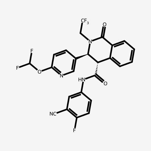 N#Cc1cc(NC(=O)[C@H]2c3ccccc3C(=O)N(CC(F)(F)F)[C@@H]2c2ccc(OC(F)F)nc2)ccc1F